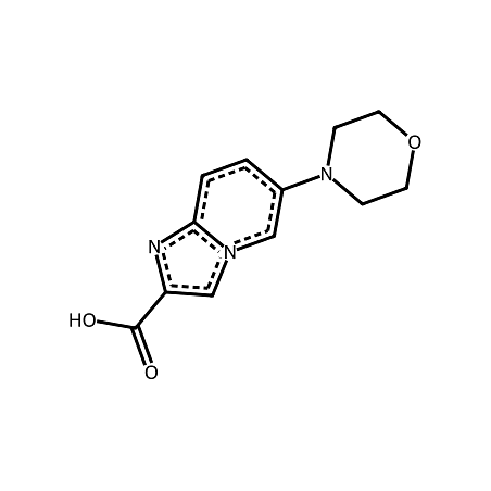 O=C(O)c1cn2cc(N3CCOCC3)ccc2n1